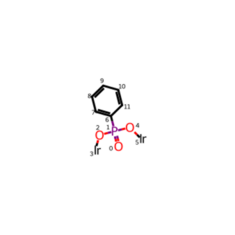 O=P([O][Ir])([O][Ir])c1ccccc1